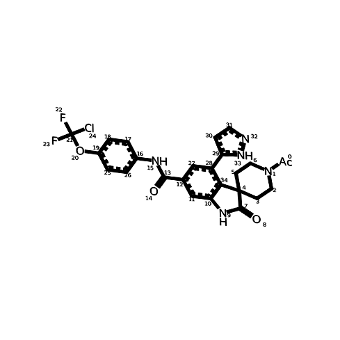 CC(=O)N1CCC2(CC1)C(=O)Nc1cc(C(=O)Nc3ccc(OC(F)(F)Cl)cc3)cc(-c3ccn[nH]3)c12